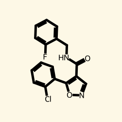 O=C(NCc1ccccc1F)c1cnoc1-c1ccccc1Cl